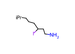 CC(C)CCCC(I)CCN